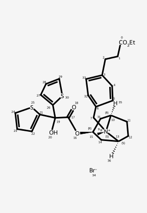 CCOC(=O)CCc1ccc(C[N@+]2(C)[C@@H]3CC[C@H]2C[C@@H](OC(=O)C(O)(c2cccs2)c2cccs2)C3)cc1.[Br-]